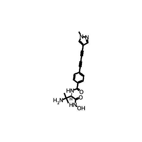 Cn1cc(C#CC#Cc2ccc(C(=O)N[C@H](C(=O)NO)C(C)(C)N)cc2)cn1